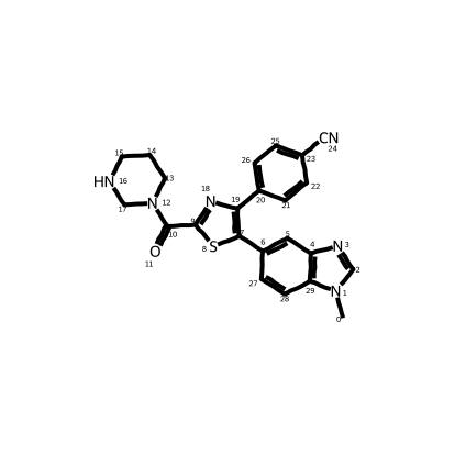 Cn1cnc2cc(-c3sc(C(=O)N4CCCNC4)nc3-c3ccc(C#N)cc3)ccc21